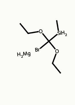 CCOC(Br)(OCC)[SiH2]C.[MgH2]